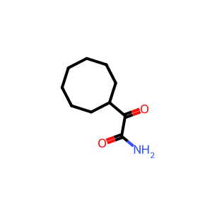 NC(=O)C(=O)C1CCCCCCC1